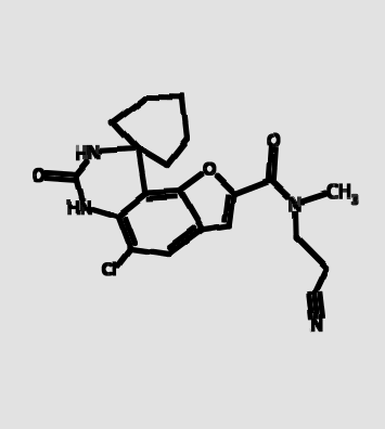 CN(CCC#N)C(=O)c1cc2cc(Cl)c3c(c2o1)C1(CCCCC1)NC(=O)N3